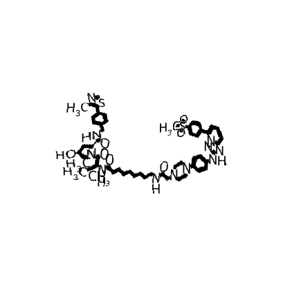 Cc1ncsc1-c1ccc(CNC(=O)[C@@H]2C[C@@H](O)CN2C(=O)[C@@H](NC(=O)CCCCCCCCNC(=O)CN2CCN(c3ccc(Nc4nc5cccc(-c6ccc(S(C)(=O)=O)cc6)n5n4)cc3)CC2)C(C)(C)C)cc1